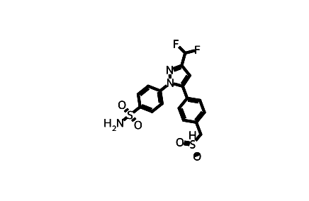 NS(=O)(=O)c1ccc(-n2nc(C(F)F)cc2-c2ccc(C[SH](=O)=O)cc2)cc1